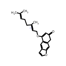 CC(C)=CCC/C(C)=C/COC1=CC(=O)Cc2cc3occc3cc21